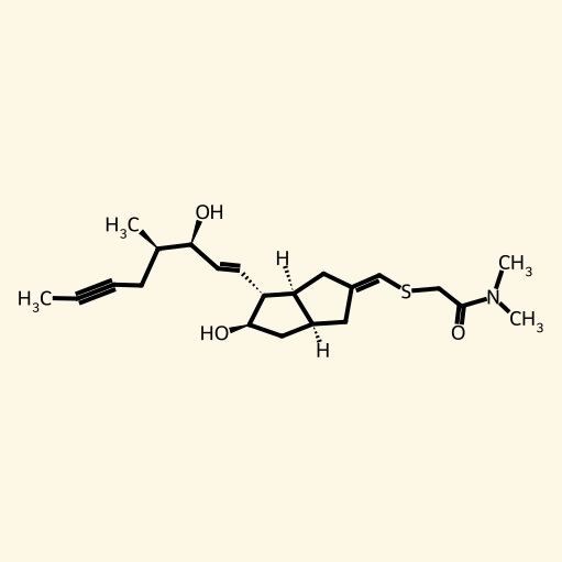 CC#CC[C@@H](C)[C@@H](O)/C=C/[C@@H]1[C@H]2CC(=CSCC(=O)N(C)C)C[C@H]2C[C@H]1O